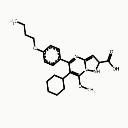 CCCCOc1ccc(C2=NC3=CC(C(=O)O)NN3C(OC)=C2C2CCCCC2)cc1